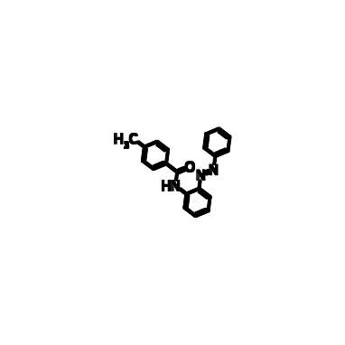 Cc1ccc(C(=O)Nc2ccccc2N=Nc2ccccc2)cc1